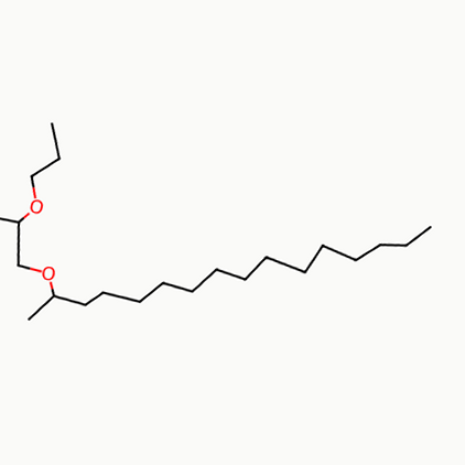 CCCCCCCCCCCCCCC(C)OCC(C)OCCC